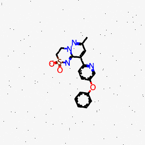 CC1=NN2CCS(=O)(=O)N=C2C(c2ccc(Oc3ccccc3)cn2)=C1